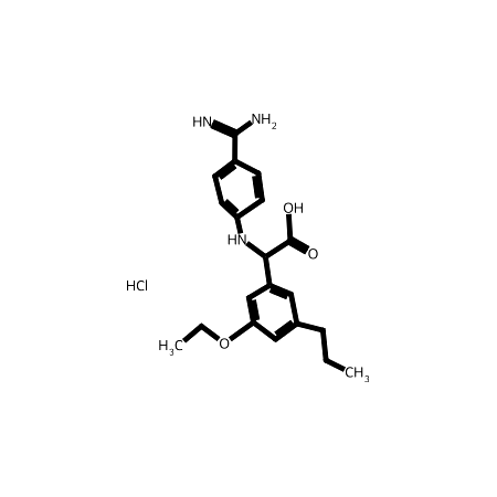 CCCc1cc(OCC)cc(C(Nc2ccc(C(=N)N)cc2)C(=O)O)c1.Cl